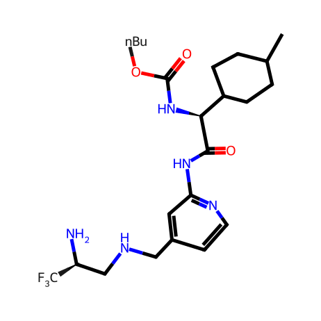 CCCCOC(=O)N[C@H](C(=O)Nc1cc(CNC[C@H](N)C(F)(F)F)ccn1)C1CCC(C)CC1